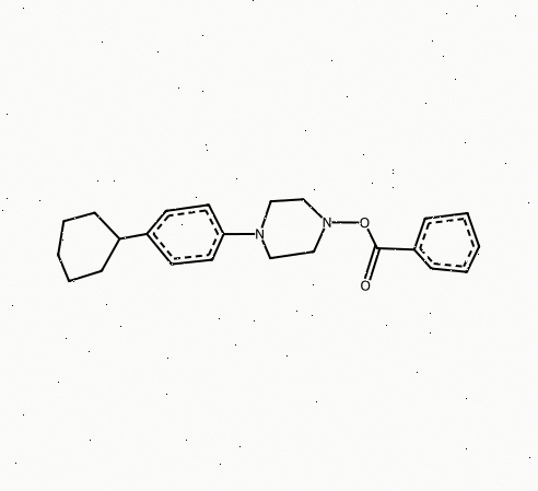 O=C(ON1CCN(c2ccc(C3CCCCC3)cc2)CC1)c1ccccc1